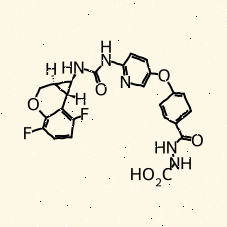 O=C(O)NNC(=O)c1ccc(Oc2ccc(NC(=O)N[C@@H]3[C@@H]4COc5c(F)ccc(F)c5[C@H]43)nc2)cc1